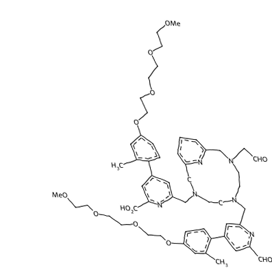 COCCOCCOCCOc1ccc(-c2cc(C=O)nc(CN3CCN(CC=O)Cc4cccc(n4)CN(Cc4cc(-c5ccc(OCCOCCOCCOC)cc5C)cc(C(=O)O)n4)CC3)c2)c(C)c1